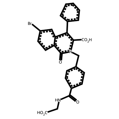 O=C(O)CNC(=O)c1ccc(Cn2c(C(=O)O)c(-c3ccccc3)c3cc(Br)ccc3c2=O)cc1